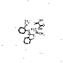 COc1ccccc1O[C@@H]1c2ccccc2C[C@H]1N(C)C.O=C(O)C(=O)O